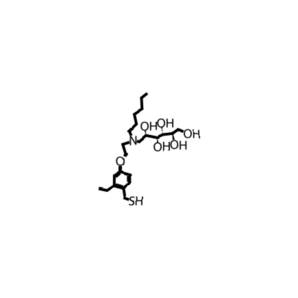 CCCCCCN(CCOc1ccc(CS)c(CC)c1)C[C@H](O)[C@@H](O)[C@H](O)[C@H](O)CO